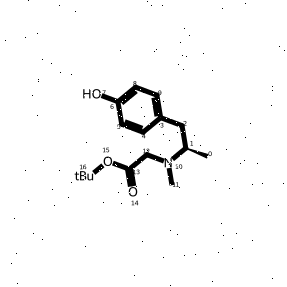 C[C@H](Cc1ccc(O)cc1)N(C)CC(=O)OC(C)(C)C